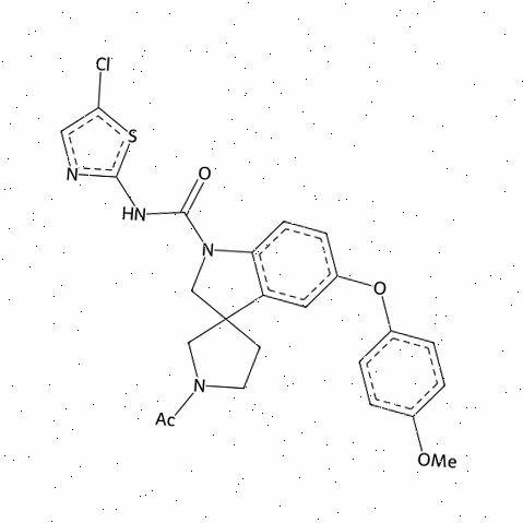 COc1ccc(Oc2ccc3c(c2)C2(CCN(C(C)=O)C2)CN3C(=O)Nc2ncc(Cl)s2)cc1